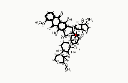 COc1cccc2c1C(=O)c1c(O)c3c(c(O)c1C2=O)C[C@@](O)(C(=O)N1C2CC1CN([C@H]1CO[C@H]4[C@@H]1OC[C@@H]4N)C2)C[C@@H]3O[C@H]1C[C@H]2[C@H](O[C@@H]3[C@@H](OC)OCCN32)[C@H](C)O1